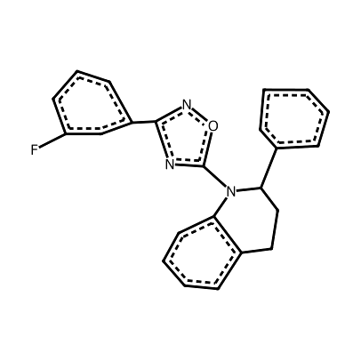 Fc1cccc(-c2noc(N3c4ccccc4CCC3c3ccccc3)n2)c1